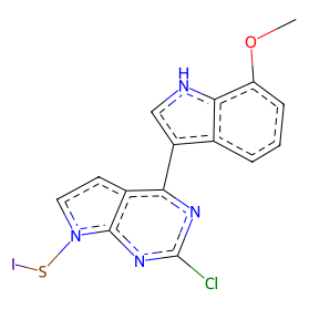 COc1cccc2c(-c3nc(Cl)nc4c3ccn4SI)c[nH]c12